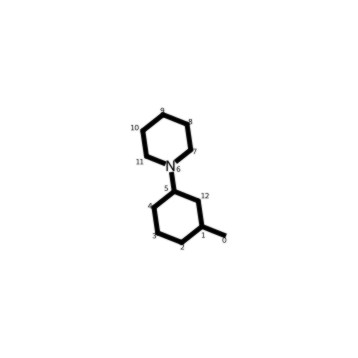 CC1CCCC(N2CCCCC2)C1